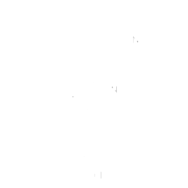 OC1(C(CN2CCC(N3CCCC3)CC2)c2cccc(Cl)c2)CCCCC1